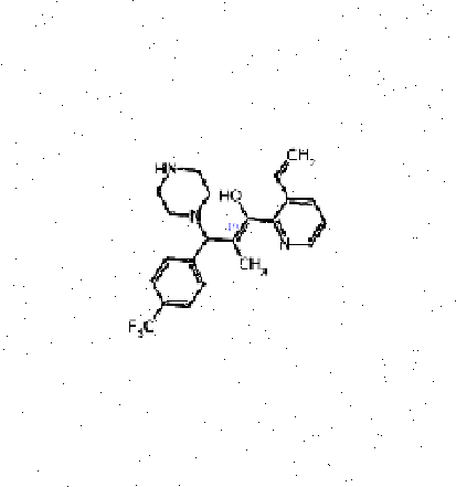 C=Cc1cccnc1/C(O)=C(\C)C(c1ccc(C(F)(F)F)cc1)N1CCNCC1